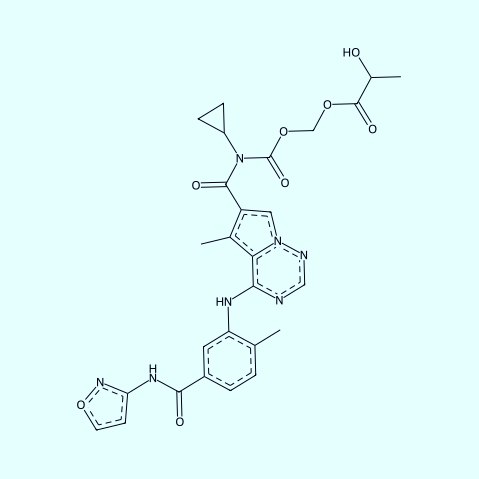 Cc1ccc(C(=O)Nc2ccon2)cc1Nc1ncnn2cc(C(=O)N(C(=O)OCOC(=O)C(C)O)C3CC3)c(C)c12